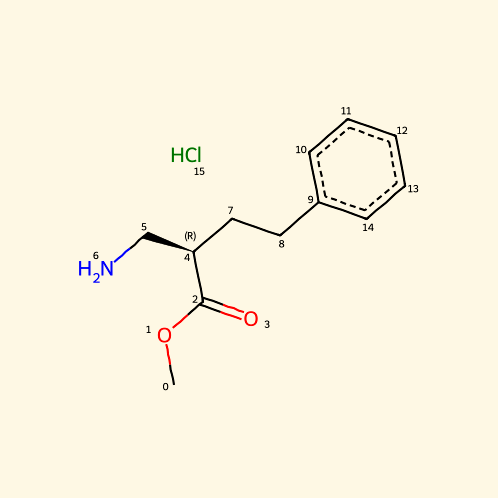 COC(=O)[C@@H](CN)CCc1ccccc1.Cl